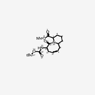 COC(=O)C1CCCC2C/C=C\CC(NC(=O)OC(C)(C)C)C(=O)N21